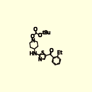 CCc1ccccc1C(=O)c1cnc(NC2CCN(OC(=O)OC(C)(C)C)CC2)s1